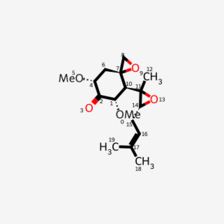 CO[C@@H]1C(=O)[C@H](OC)C[C@]2(CO2)[C@H]1C1(C)O[C@@H]1CC=C(C)C